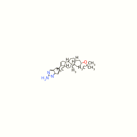 CC(C)(C)O[C@H]1CC[C@@]2(C)[C@@H](CC[C@@H]3[C@@H]2CC[C@]2(C)C(c4ccc5nc(N)ncc5c4)=CC[C@@H]32)C1